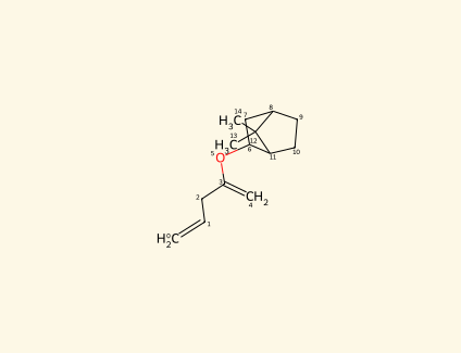 C=CCC(=C)OC1CC2CCC1C2(C)C